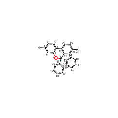 Cc1ccc2c(c1)OC(c1ccccc1)(c1ccccc1)c1cc(C)ccc1-2